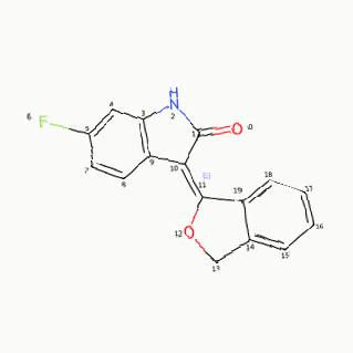 O=C1Nc2cc(F)ccc2/C1=C1\OCc2ccccc21